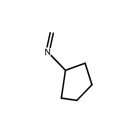 C=NC1CCCC1